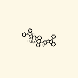 C=CC1=C(/C=C\CC2(C)C3=C(C=CCC3)C(C(=C)/C=C3/OC4C(C5=C(C=CCC5)N4C4C=CC=CC4)/C3=C/C)=C3C=CCCC32)[C@@H]2c3ccccc3N(C3=CC=CCC3)C2O1